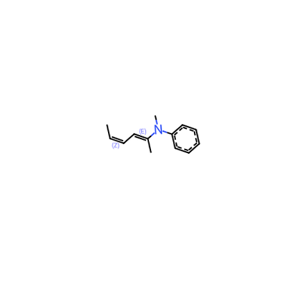 C/C=C\C=C(/C)N(C)c1ccccc1